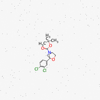 CC(C)(C)OC(=O)N1CC2(c3ccc(Cl)c(Cl)c3)CC1CO2